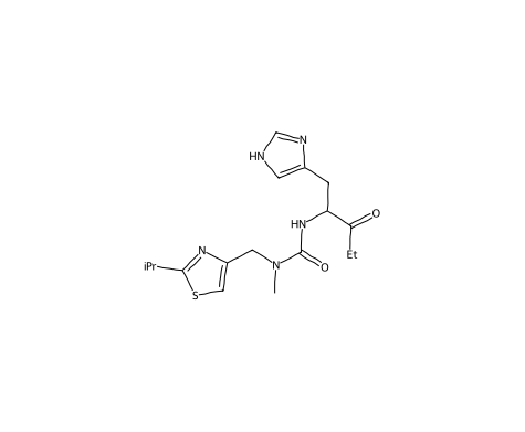 CCC(=O)C(Cc1c[nH]cn1)NC(=O)N(C)Cc1csc(C(C)C)n1